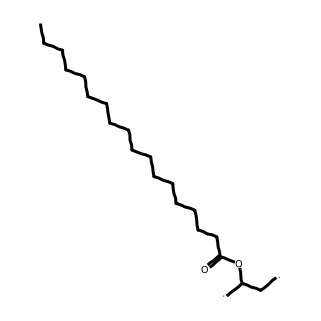 [CH2]CC([CH2])OC(=O)CCCCCCCCCCCCCCCCC